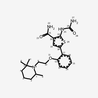 CC1CCCC(C)(C)N1CCOc1ccccc1-c1cc(C(N)=O)c(NC(N)=O)s1